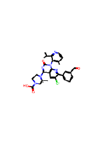 Cc1ccnc(C(C)C)c1-n1c(=O)nc(N2CCN(C(=O)O)C[C@@H]2C)c2cc(Cl)c(-c3cccc(C=O)c3)nc21